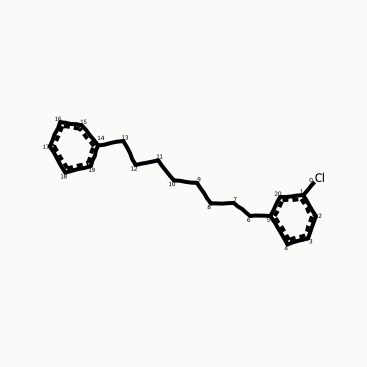 Clc1cccc(CCCCCCCCc2ccccc2)c1